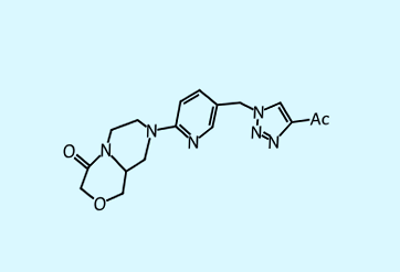 CC(=O)c1cn(Cc2ccc(N3CCN4C(=O)COCC4C3)nc2)nn1